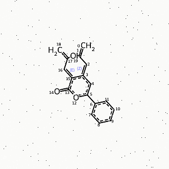 C=C/C=c1/cc(-c2ccccc2)oc(=O)/c1=C/C(=C)O